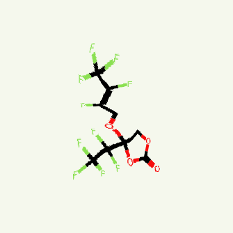 O=C1OCC(OCC(F)=C(F)C(F)(F)F)(C(F)(F)C(F)(F)F)O1